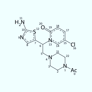 CC(=O)N1CCN(CC(c2cnc(N)s2)n2cc(Cl)ccc2=O)CC1